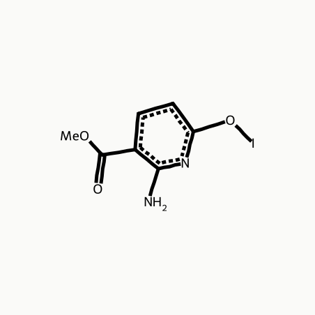 COC(=O)c1ccc(OI)nc1N